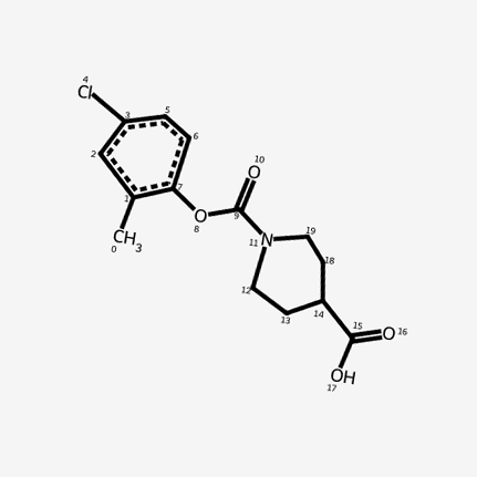 Cc1cc(Cl)ccc1OC(=O)N1CCC(C(=O)O)CC1